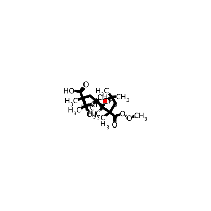 COOC(=O)C(C)(CC(C)(C)C)C(C)(C)C(C)(C)CC(C)(C(=O)O)C(C)(C)C